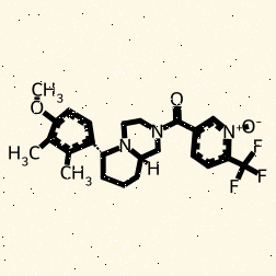 COc1ccc([C@H]2CCC[C@H]3CN(C(=O)c4ccc(C(F)(F)F)[n+]([O-])c4)CCN32)c(C)c1C